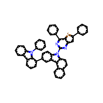 c1ccc(-c2cc3nc(-n4c5ccc(-c6cccc7c8ccccc8n(-c8ccccc8)c67)cc5c5c6ccccc6ccc54)nc(-c4ccccc4)c3s2)cc1